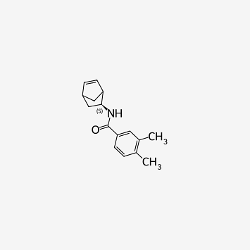 Cc1ccc(C(=O)N[C@H]2CC3C=CC2C3)cc1C